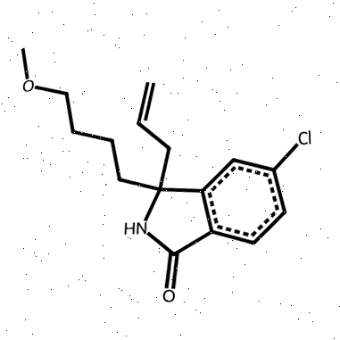 C=CCC1(CCCCOC)NC(=O)c2ccc(Cl)cc21